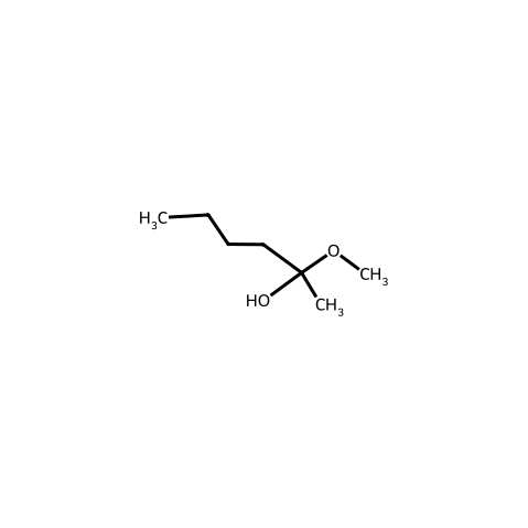 CCCCC(C)(O)OC